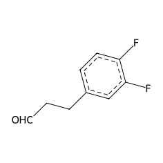 O=CCCc1ccc(F)c(F)c1